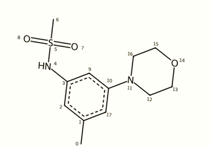 Cc1cc(NS(C)(=O)=O)cc(N2CCOCC2)c1